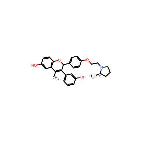 CC1=C(c2cccc(O)c2)C(c2ccc(OCCN3CCC[C@H]3C)cc2)Oc2ccc(O)cc21